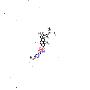 CC(C)CCC[C@@H](C)[C@H]1CCC2C3CC=C4CC(OC(=O)NC(=O)CN5CCN(C)CC5)CC[C@]4(C)C3CC[C@@]21C